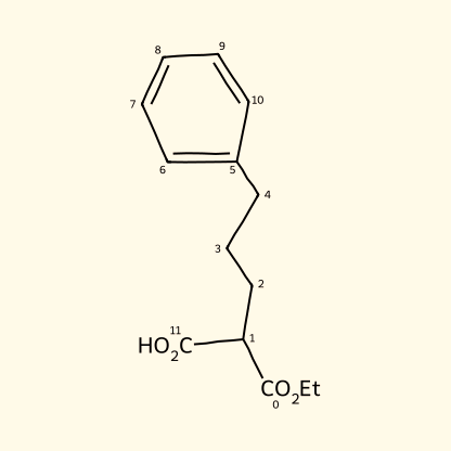 CCOC(=O)C(CCCc1ccccc1)C(=O)O